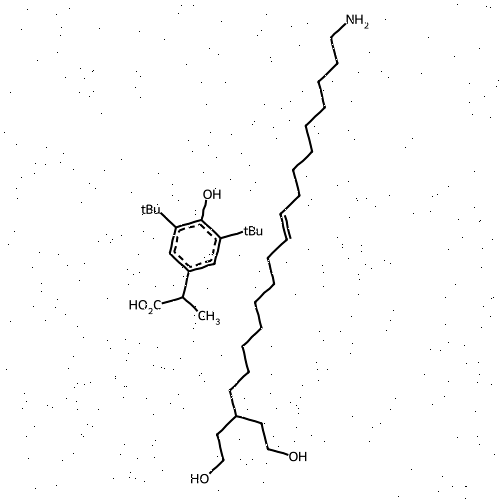 CC(C(=O)O)c1cc(C(C)(C)C)c(O)c(C(C)(C)C)c1.NCCCCCCCCC=CCCCCCCCC(CCO)CCO